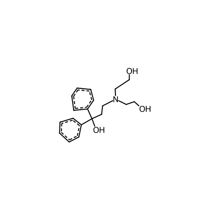 OCCN(CCO)CCC(O)(c1ccccc1)c1ccccc1